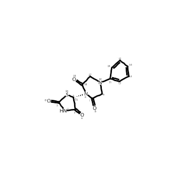 O=C1NC(=O)[C@@H](N2C(=O)CN(c3ccccc3)CC2=O)S1